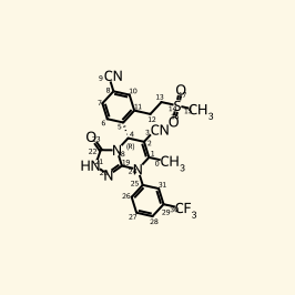 CC1=C(C#N)[C@@H](c2ccc(C#N)cc2CCS(C)(=O)=O)n2c(n[nH]c2=O)N1c1cccc(C(F)(F)F)c1